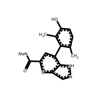 CNC(=O)c1cc(-c2c(C)ccc(O)c2C)c2[nH]ncc2n1